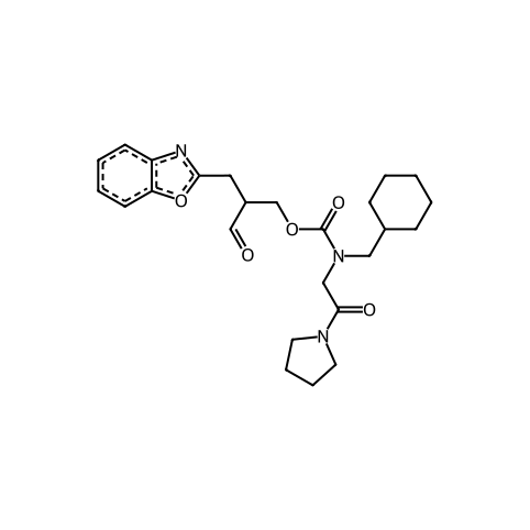 O=CC(COC(=O)N(CC(=O)N1CCCC1)CC1CCCCC1)Cc1nc2ccccc2o1